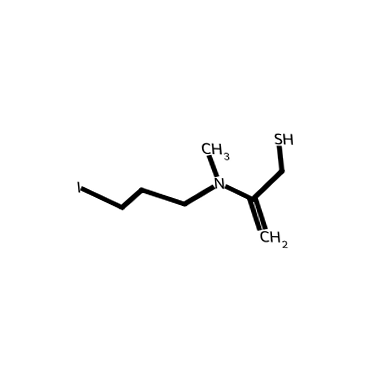 C=C(CS)N(C)CCCI